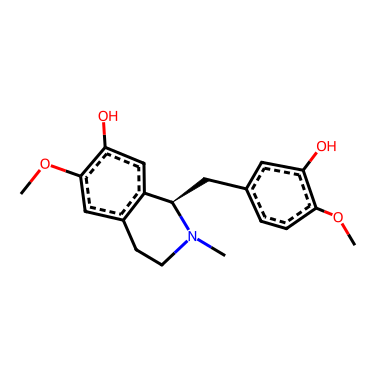 COc1ccc(C[C@@H]2c3cc(O)c(OC)cc3CCN2C)cc1O